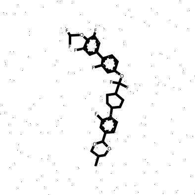 CC1COC(c2ccc(C3CCC(C(F)(F)Oc4ccc(-c5cc(F)c(OC(F)F)c(F)c5)c(F)c4)CC3)c(F)c2)OC1